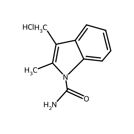 Cc1c(C)n(C(N)=O)c2ccccc12.Cl